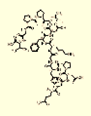 CC(C)C[C@H](NC(=O)[C@H](CC(=O)O)NC(=O)[C@H](Cc1ccccc1)NC(=O)[C@H](CCCCN)NC(=O)CNC(=O)[C@H](Cc1c[nH]cn1)NC(=O)[C@@H]1CCCN1C(=O)[C@H](CC(=O)O)NC(=O)CNC(=O)[C@@H](N)CCC(N)=O)C(=O)N1CCC[C@H]1C(=O)N1CCC[C@H]1C(=O)NCC(=O)N[C@H](C(=O)O)C(C)C